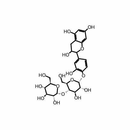 OC[C@H]1O[C@H](O[C@H]2[C@H](O)[C@@H](O)[C@@H](Oc3ccc(C4Oc5cc(O)cc(O)c5CC4O)cc3O)O[C@@H]2CO)[C@H](O)[C@@H](O)[C@@H]1O